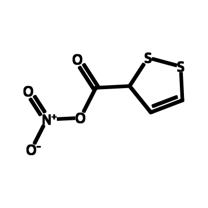 O=C(O[N+](=O)[O-])C1C=CSS1